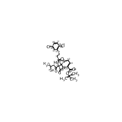 CC(S)CC(=O)C1(NC(=O)CSc2cc(Cl)ccc2Cl)C(=O)N2C(C(=O)OC(C)(C)C)=CCS[C@H]21